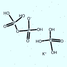 O=P(O)(O)O.O=P([O-])(O)OP(=O)(O)O.[K+]